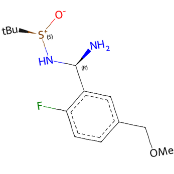 COCc1ccc(F)c([C@H](N)N[S@+]([O-])C(C)(C)C)c1